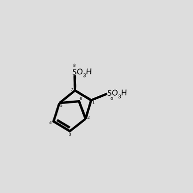 O=S(=O)(O)C1C2C=CC(C2)C1S(=O)(=O)O